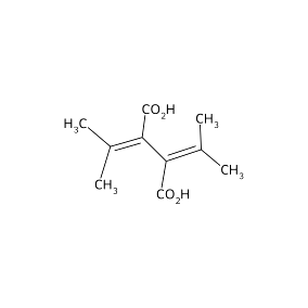 CC(C)=C(C(=O)O)C(C(=O)O)=C(C)C